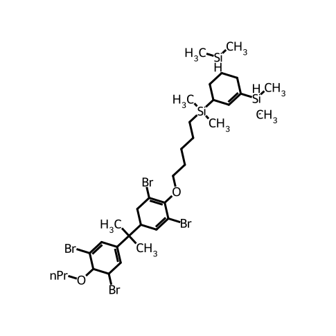 CCCOC1C(Br)=CC(C(C)(C)C2C=C(Br)C(OCCCCC[Si](C)(C)C3C=C([SiH](C)C)CC([SiH](C)C)C3)=C(Br)C2)=CC1Br